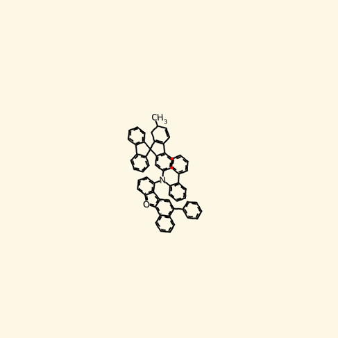 CC1C=CC2=C(C1)C1(c3cc(N(c4ccccc4-c4ccccc4)c4cccc5oc6c7ccccc7c(-c7ccccc7)cc6c45)ccc32)c2ccccc2-c2ccccc21